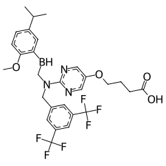 COc1ccc(C(C)C)cc1BCN(Cc1cc(C(F)(F)F)cc(C(F)(F)F)c1)c1ncc(OCCCC(=O)O)cn1